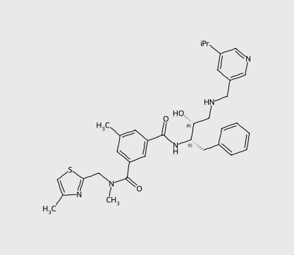 Cc1cc(C(=O)N[C@@H](Cc2ccccc2)[C@H](O)CNCc2cncc(C(C)C)c2)cc(C(=O)N(C)Cc2nc(C)cs2)c1